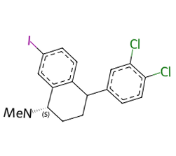 CN[C@H]1CCC(c2ccc(Cl)c(Cl)c2)c2ccc(I)cc21